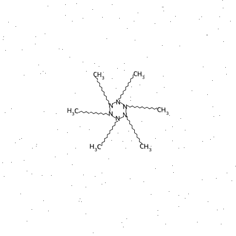 CCCCCCCCCCCCCCN1CCN(CCCCCCCCCCCCCC)CCN(CCCCCCCCCCCCCC)CCN(CCCCCCCCCCCCCC)CCN(CCCCCCCCCCCCCC)CCN(CCCCCCCCCCCCCC)CC1